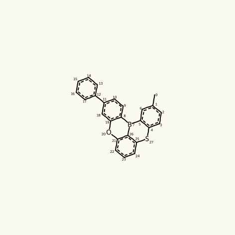 Cc1ccc2c(c1)B1c3ccc(-c4ccccc4)cc3Oc3cccc(c31)S2